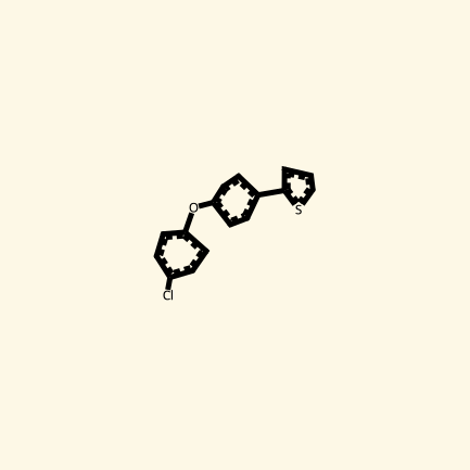 Clc1ccc(Oc2ccc(-c3cccs3)cc2)cc1